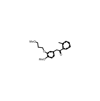 COCCCOc1cc(CC(=O)c2ccccc2C)ccc1OC